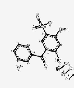 CC(C)[O-].CC(C)[O-].CC(C)[O-].COc1cc(O)c(C(=O)c2ccccc2)cc1S(=O)(=O)[O-].[Ti+4]